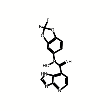 N=C(c1ccnc2nc[nH]c12)N(O)c1ccc2c(c1)OC(F)(F)O2